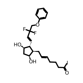 O=C(I)CCC/C=C/C[C@@H]1[C@@H](/C=C/C(F)(F)COc2ccccc2)[C@H](O)C[C@@H]1O